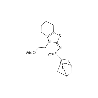 COCCn1c2c(sc1=NC(=O)C13CC4CC(CC1C4)C3)CCCC2